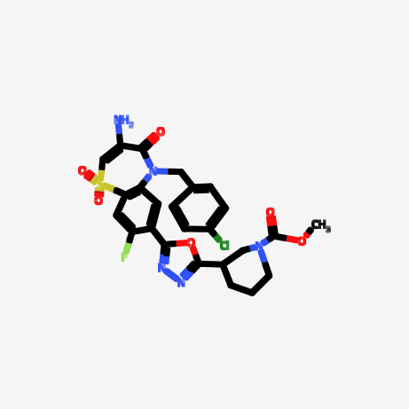 COC(=O)N1CCCC(c2nnc(-c3cc4c(cc3F)S(=O)(=O)C=C(N)C(=O)N4Cc3ccc(Cl)cc3)o2)C1